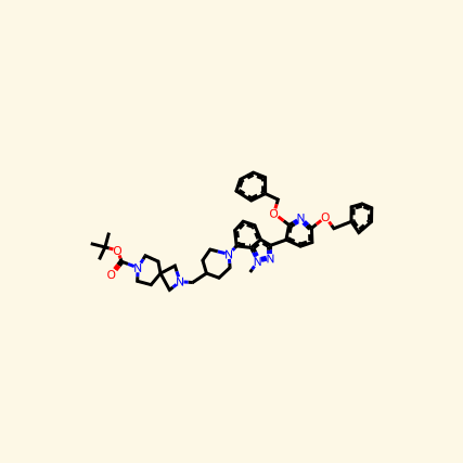 Cn1nc(-c2ccc(OCc3ccccc3)nc2OCc2ccccc2)c2cccc(N3CCC(CN4CC5(CCN(C(=O)OC(C)(C)C)CC5)C4)CC3)c21